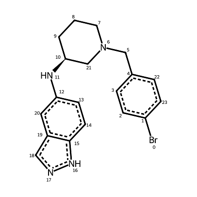 Brc1ccc(CN2CCC[C@H](Nc3ccc4[nH]ncc4c3)C2)cc1